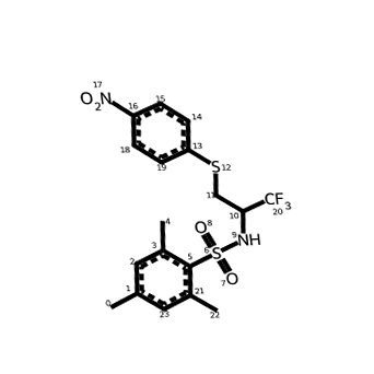 Cc1cc(C)c(S(=O)(=O)NC(CSc2ccc([N+](=O)[O-])cc2)C(F)(F)F)c(C)c1